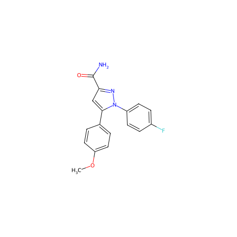 COc1ccc(-c2cc(C(N)=O)nn2-c2ccc(F)cc2)cc1